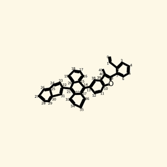 C=Cc1ccccc1-c1oc2ccc(-c3c4ccccc4c(-c4ccc5ccccc5c4)c4ccccc34)cc2c1C